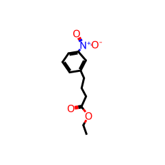 CCOC(=O)CCCc1cccc([N+](=O)[O-])c1